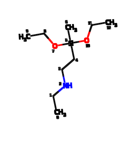 CCNCC[Si](C)(OCC)OCC